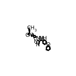 CC#CC(=O)N1CC2(CC(Nc3ncncc3C(=N)c3ccc(Oc4ccccc4)cc3)C2)C1